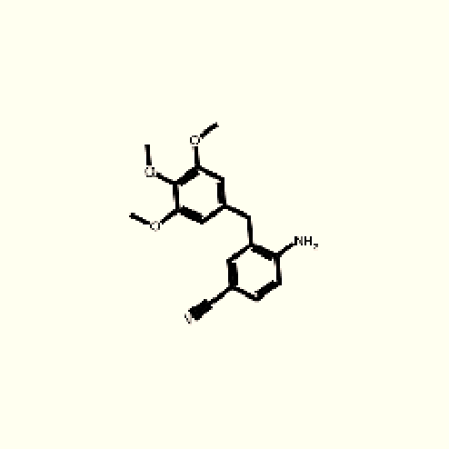 COc1cc(Cc2cc(C#N)ccc2N)cc(OC)c1OC